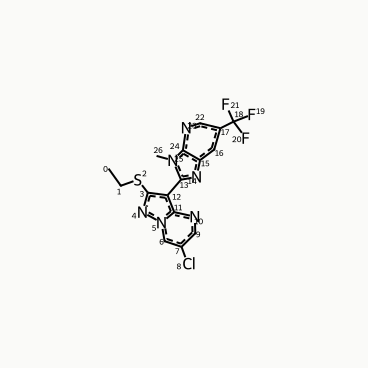 CCSc1nn2cc(Cl)cnc2c1-c1nc2cc(C(F)(F)F)cnc2n1C